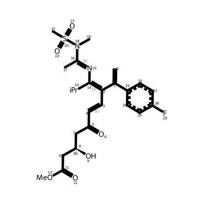 C=C(C(/C=C/C(=O)C[C@@H](O)CC(=O)OC)=C(\N=C(/C)N(C)S(C)(=O)=O)C(C)C)c1ccc(F)cc1